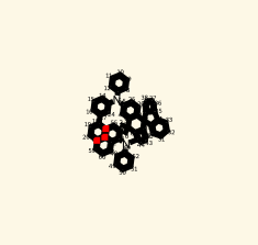 CC1(C)c2cc(N(c3ccccc3)c3cccc(-c4ccccc4)c3)ccc2C2(c3ccccc3-c3ccccc32)c2cccc(N(c3ccccc3)c3cccc4ccccc34)c21